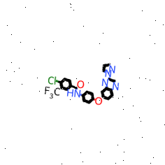 O=C(Nc1ccc(Oc2ccc3ncc(-n4cccn4)nc3c2)cc1)c1ccc(Cl)c(C(F)(F)F)c1